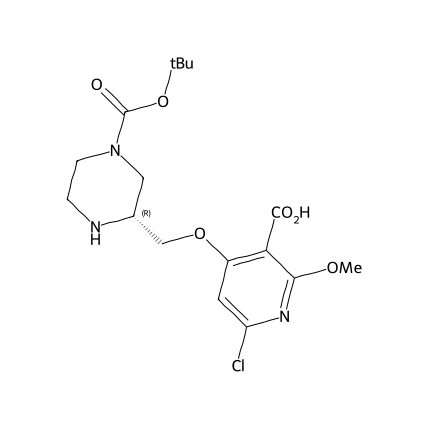 COc1nc(Cl)cc(OC[C@H]2CN(C(=O)OC(C)(C)C)CCN2)c1C(=O)O